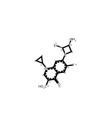 CC[C@H]1[C@@H](N)CN1c1cc2c(cc1F)c(=O)c(C(=O)O)cn2C1CC1